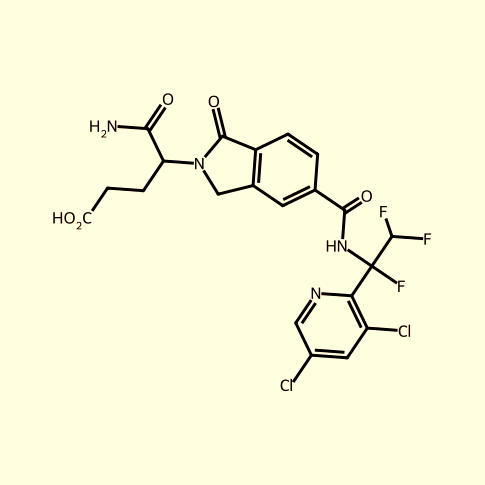 NC(=O)C(CCC(=O)O)N1Cc2cc(C(=O)NC(F)(c3ncc(Cl)cc3Cl)C(F)F)ccc2C1=O